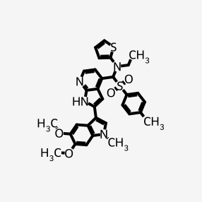 CCN(c1cccs1)C(c1ccnc2[nH]c(-c3cn(C)c4cc(OC)c(OC)cc34)cc12)S(=O)(=O)c1ccc(C)cc1